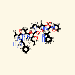 CC[C@H](C)[C@@H]([C@@H](CC(=O)N1CCC[C@H]1[C@H](OC)[C@@H](C)C(=O)N[C@@H](Cc1c[nH]c2ccccc12)C(=O)N1CCCCO1)OC)N(C)C(=O)[C@@H](NC(=O)[C@H](C(C)C)N(C)C[C@@H](N)Cc1ccccc1)C(C)C